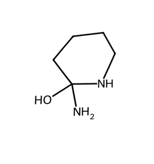 NC1(O)CCCCN1